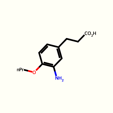 CCCOc1ccc(CCC(=O)O)cc1N